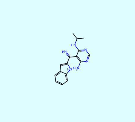 CC(C)Nc1ncnc(N)c1C(=N)c1cc2ccccc2[nH]1